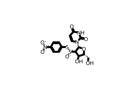 O=c1ccn([C@@H]2O[C@H](CO)C(O)C2[S@+]([O-])Sc2ccc([N+](=O)[O-])cc2)c(=O)[nH]1